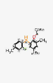 COCOc1c(C)cc(C(C)(C)C)cc1Pc1ccc(C)cc1F